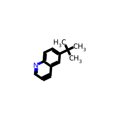 CC(C)(C)c1ccc2ncc#cc2c1